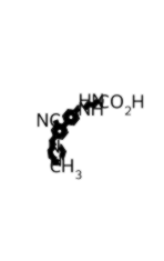 CN1CCCN(Cc2ccc(-c3ccc(CNCCNC(=O)O)cc3)c(C#N)c2)CC1